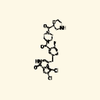 O=C(c1cc(Cc2c[nH]c(=O)c3cc(Cl)c(Cl)n23)ccc1F)N1CCN(C(=O)C2CNCCO2)CC1